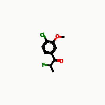 COc1cc(C(=O)C(C)F)ccc1Cl